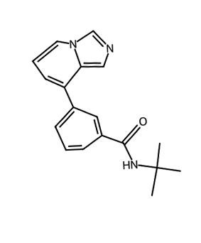 CC(C)(C)NC(=O)c1cccc(-c2cccn3cncc23)c1